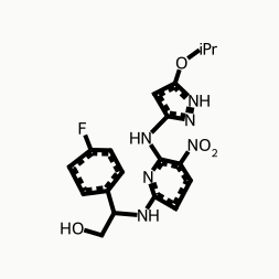 CC(C)Oc1cc(Nc2nc(NC(CO)c3ccc(F)cc3)ccc2[N+](=O)[O-])n[nH]1